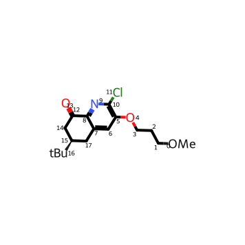 COCCCOc1cc2c(nc1Cl)C(=O)C[C@H](C(C)(C)C)C2